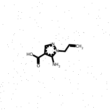 C=CCn1ncc(C(=O)O)c1N